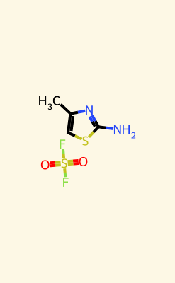 Cc1csc(N)n1.O=S(=O)(F)F